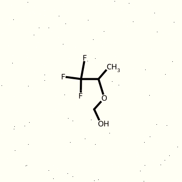 CC(OCO)C(F)(F)F